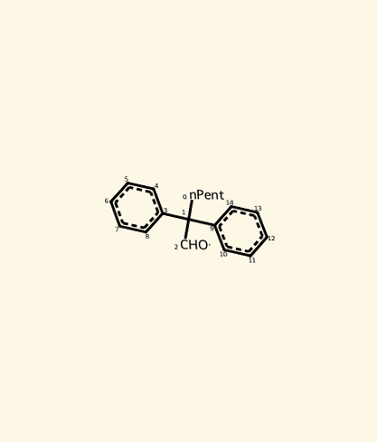 CCCCCC([C]=O)(c1ccccc1)c1ccccc1